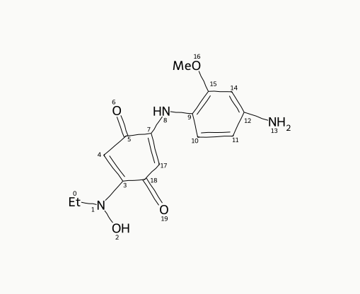 CCN(O)C1=CC(=O)C(Nc2ccc(N)cc2OC)=CC1=O